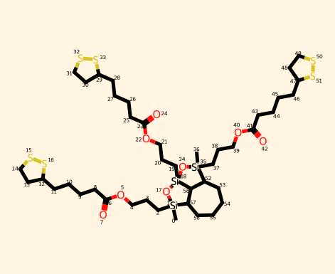 C[Si]1(CCCOC(=O)CCCCC2CCSS2)O[Si]2(CCCOC(=O)CCCCC3CCSS3)O[Si](C)(CCCOC(=O)CCCCC3CCSS3)C3CCCCC1C32